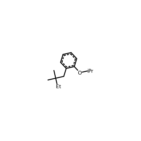 CCC(C)(C)Cc1ccccc1OC(C)C